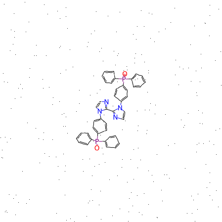 O=P(c1ccccc1)(c1ccccc1)c1ccc(-n2ccnc2-c2nccn2-c2ccc(P(=O)(c3ccccc3)c3ccccc3)cc2)cc1